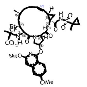 CC[C@@H]1C[C@@H](C)CC/C=C\[C@@H]2C[C@@]2(C(=O)NS(=O)(=O)C2(C)CC2)NC(=O)[C@@H]2C[C@@H](Oc3nc(OC)cc4cc(OC)ccc34)CN2C(=O)[C@H]1N(C(=O)O)C(C)(C)C(F)(F)F